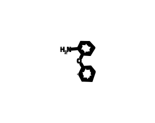 Nc1ccccc1Oc1[c]cccc1